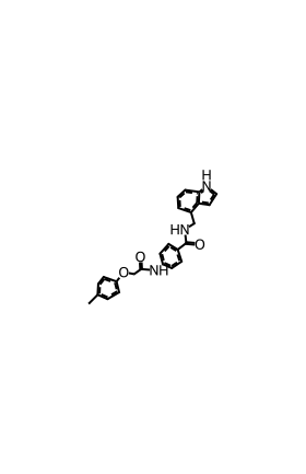 Cc1ccc(OCC(=O)Nc2ccc(C(=O)NCc3cccc4[nH]ccc34)cc2)cc1